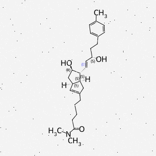 Cc1ccc(CC[C@H](O)/C=C/[C@@H]2[C@H]3CC(CCCCC(=O)N(C)C)=C[C@H]3C[C@H]2O)cc1